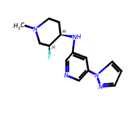 CN1CC[C@@H](Nc2cncc(-n3cccn3)c2)[C@@H](F)C1